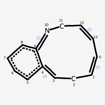 C1=C\C/C=c2/cccc/c2=N/C\C=C/1